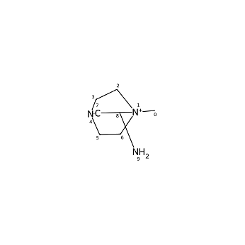 C[N+]12CCN(CC1)CC2N